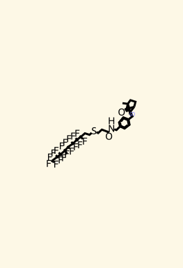 CC12CCC(/C(=C/c3ccc(CNC(=O)CCSCCC(F)(F)C(F)(F)C(F)(F)C(F)(F)C(F)(F)C(F)(F)C(F)(F)C(F)(F)F)cc3)C1=O)C2(C)C